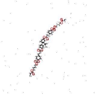 C=CC(=O)OCCCCOC(=O)Oc1ccc(CCC(=O)Oc2ccc3c(c2)C(C)(C)c2cc(OC(=O)CCc4ccc(OC(=O)OCCCCOC(=O)C=C)cc4)ccc2-3)cc1